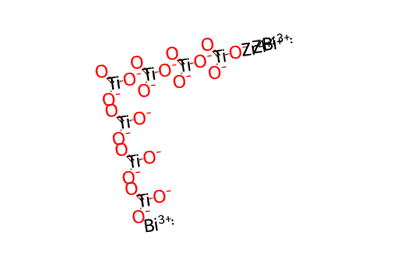 [Bi+3].[Bi+3].[O]=[Ti]([O-])[O-].[O]=[Ti]([O-])[O-].[O]=[Ti]([O-])[O-].[O]=[Ti]([O-])[O-].[O]=[Ti]([O-])[O-].[O]=[Ti]([O-])[O-].[O]=[Ti]([O-])[O-].[Zr+4].[Zr+4]